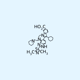 Cc1nc(C)c(-c2nc3c4c(ccc3[nH]2)-c2c(C3CCCCC3)c3ccc(C(=O)O)cc3n2CCN4CCN2CCCCC2)s1